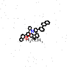 CC1(C)c2ccccc2-c2c(N(c3ccc(-c4cccc(-c5ccc6ccccc6c5)c4)cc3)c3ccccc3-c3ccc4oc5c6ccccc6ccc5c4c3)cccc21